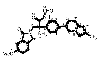 COc1ccc2c(c1)C(=O)N(C[C@@](N)(C(=O)NC=O)c1ccc(-c3ccc4nc(C(F)(F)F)cn4c3)cc1)C2